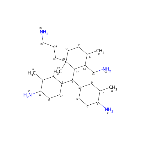 CC1CC(C(C2CCC(N)C(C)C2)C2C(CN)C(C)CCC2(C)CCCN)CCC1N